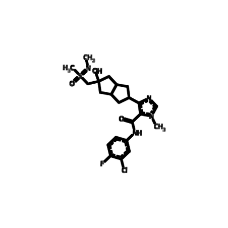 CN=S(C)(=O)CC1(O)CC2CC(c3ncn(C)c3C(=O)Nc3ccc(F)c(Cl)c3)CC2C1